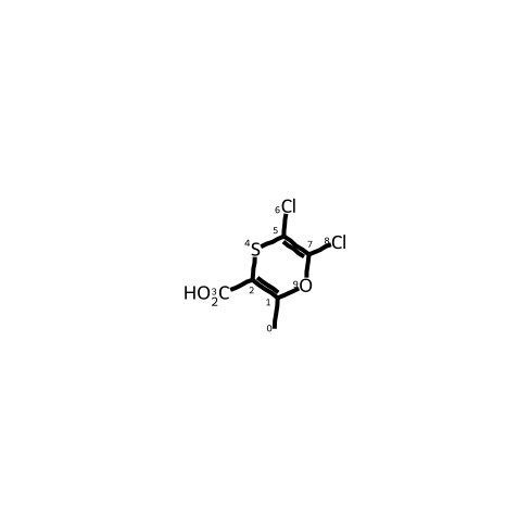 CC1=C(C(=O)O)SC(Cl)=C(Cl)O1